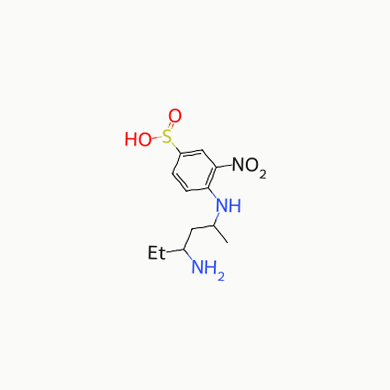 CCC(N)CC(C)Nc1ccc(S(=O)O)cc1[N+](=O)[O-]